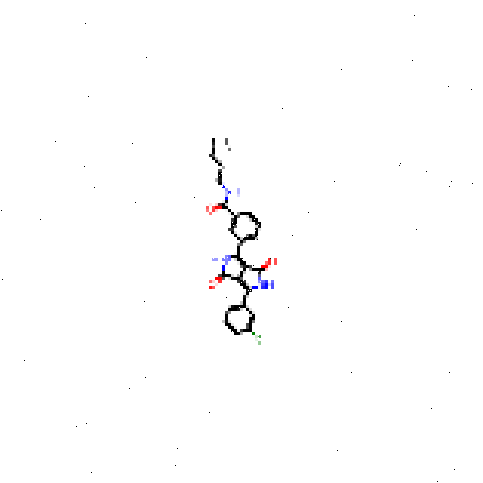 CCCCNC(=O)c1cccc(C2=C3C(=O)NC(c4cccc(Cl)c4)=C3C(=O)N2)c1